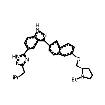 CCN1CCC[C@@H]1COc1ccc2cc(-c3n[nH]c4ccc(-c5nc(CC(C)C)n[nH]5)cc34)ccc2c1